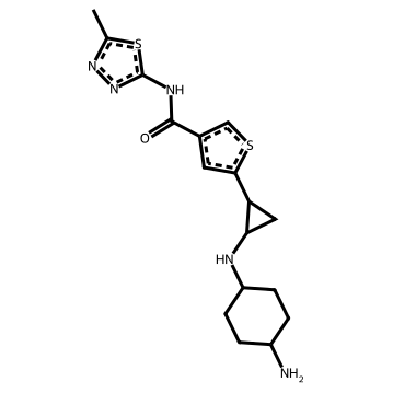 Cc1nnc(NC(=O)c2csc(C3CC3NC3CCC(N)CC3)c2)s1